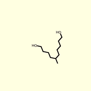 CC(CCCCO)CCCCCO